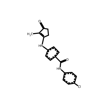 CC1=C(Nc2ccc(C(=O)Nc3ccc(Cl)cc3)cc2)CCC1=O